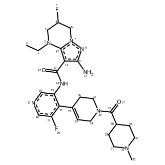 CCN1CC(F)Cn2nc(N)c(C(=O)Nc3cncc(F)c3C3=CCN(C(=O)C4CCN(C)CC4)CC3)c21